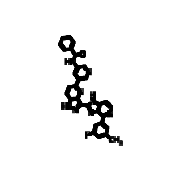 Cc1cc(F)cc(-c2nccc3[nH]c(-c4n[nH]c5ccc(-c6cncc(NC(=O)c7ccccc7)c6)nc45)nc23)c1